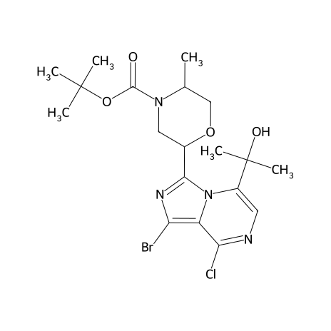 CC1COC(c2nc(Br)c3c(Cl)ncc(C(C)(C)O)n23)CN1C(=O)OC(C)(C)C